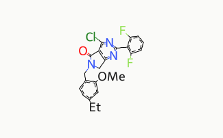 CCc1ccc(CN2Cc3nc(-c4c(F)cccc4F)nc(Cl)c3C2=O)c(OC)c1